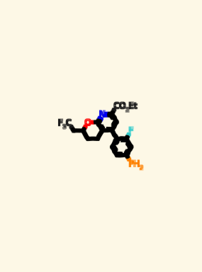 CCOC(=O)c1cc(-c2ccc(P)cc2F)c2c(n1)OC(CC(F)(F)F)CC2